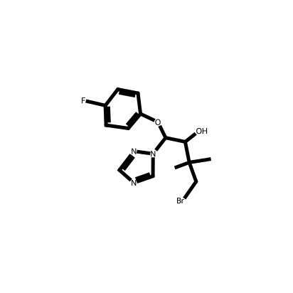 CC(C)(CBr)C(O)C(Oc1ccc(F)cc1)n1cncn1